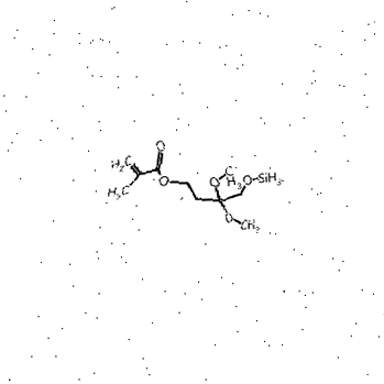 C=C(C)C(=O)OCCC(CO[SiH3])(OC)OC